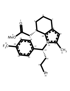 COC(=O)C[C@@H]1CCCc2cc(C)n([C@H](CCC(C)C)c3ccc(C(F)(F)F)cc3)c21